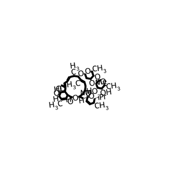 CO[C@H]1C[C@H](O[C@H]2[C@H](C)O[C@@H](O[C@@H]3/C(C)=C/C[C@@H]4C[C@@H](C[C@]5(C=C[C@H](C)[C@@H](C(C)C)O5)O4)OC(=O)[C@@H]4C=C(C)[C@H]5OC56OC/C(=C\C=C\[C@@H]3C)[C@@]46O)C[C@@H]2OC)O[C@@H](C)[C@@H]1O